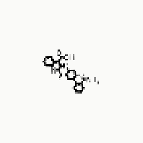 CCc1nc2ccccc2c(C(=O)O)c1Oc1ccc(-c2ccccc2C(N)=O)cc1